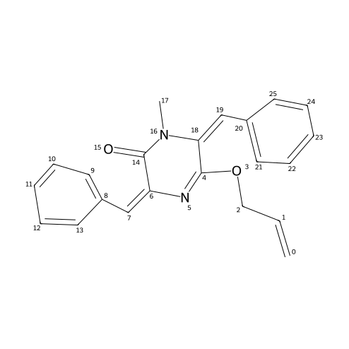 C=CCOc1nc(=Cc2ccccc2)c(=O)n(C)c1=Cc1ccccc1